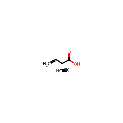 C#C.C=CCC(=O)O